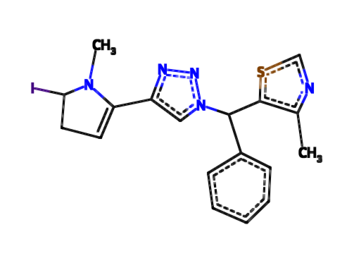 Cc1ncsc1C(c1ccccc1)n1cc(C2=CCC(I)N2C)nn1